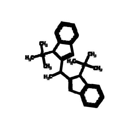 CC(C1=Cc2ccccc2[CH]1[Sn]([CH3])([CH3])[CH3])C1=Cc2ccccc2[CH]1[Sn]([CH3])([CH3])[CH3]